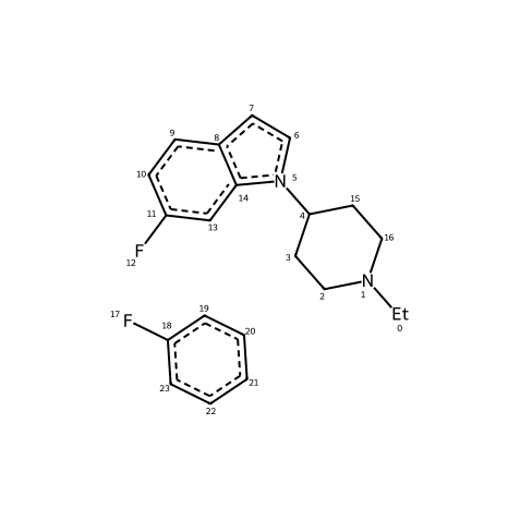 CCN1CCC(n2ccc3ccc(F)cc32)CC1.Fc1ccccc1